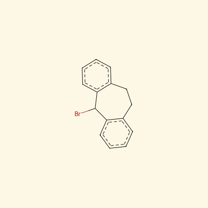 BrC1c2ccccc2CCc2ccccc21